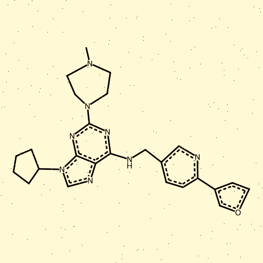 CN1CCN(c2nc(NCc3ccc(-c4ccoc4)nc3)c3ncn(C4CCCC4)c3n2)CC1